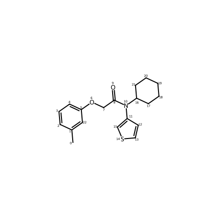 Cc1cccc(OCC(=O)N(c2ccsc2)C2CCCCC2)c1